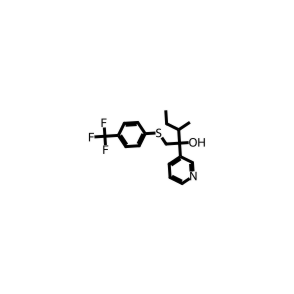 CCC(C)C(O)(CSc1ccc(C(F)(F)F)cc1)c1cccnc1